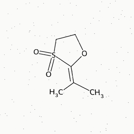 CC(C)=C1OCCS1(=O)=O